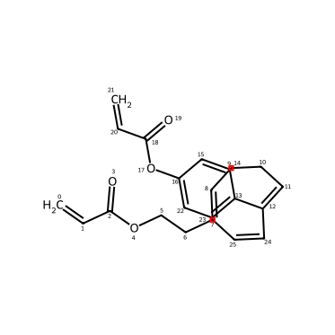 C=CC(=O)OCCC1=C/CC/C=C(c2ccc(OC(=O)C=C)cc2)/C=C\1